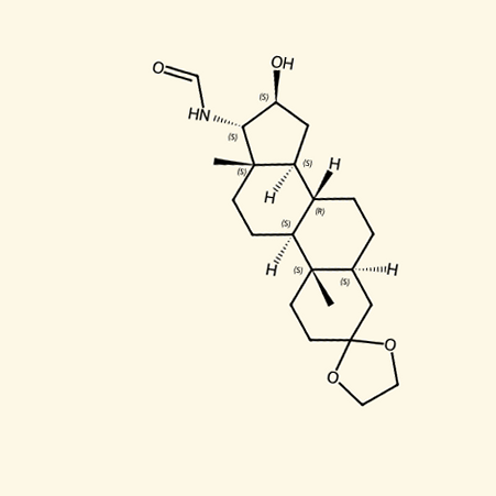 C[C@]12CCC3(C[C@@H]1CC[C@@H]1[C@@H]2CC[C@]2(C)[C@H](NC=O)[C@@H](O)C[C@@H]12)OCCO3